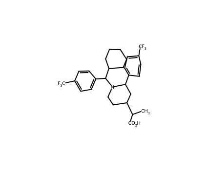 CC(C(=O)O)C1CCN(C(c2ccc(C(F)(F)F)cc2)C2CCCCC2)C(c2ccc(C(F)(F)F)cc2)C1